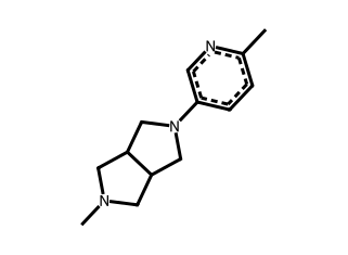 Cc1ccc(N2CC3CN(C)CC3C2)cn1